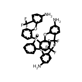 Nc1ccc(C(F)(F)F)c(Oc2ccccc2P(=O)(c2ccccc2Oc2cc(N)ccc2C(F)(F)F)c2ccccc2Oc2cc(N)ccc2C(F)(F)F)c1